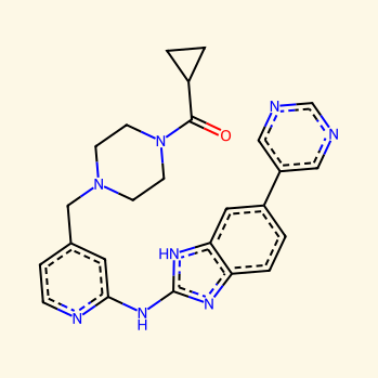 O=C(C1CC1)N1CCN(Cc2ccnc(Nc3nc4ccc(-c5cncnc5)cc4[nH]3)c2)CC1